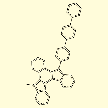 Cn1c2ccccc2c2c3c4ccccc4n(-c4ccc(-c5ccc(-c6ccccc6)cc5)cc4)c3c3ccccc3c21